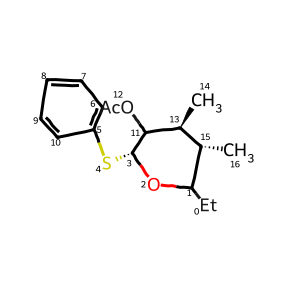 CCC1O[C@H](Sc2ccccc2)C(OC(C)=O)[C@@H](C)[C@@H]1C